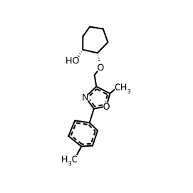 Cc1ccc(-c2nc(CO[C@H]3CCCC[C@H]3O)c(C)o2)cc1